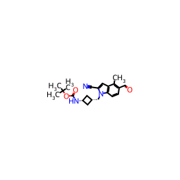 Cc1c(C=O)ccc2c1cc(C#N)n2C[C@H]1C[C@@H](NC(=O)OC(C)(C)C)C1